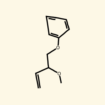 [CH]=CC(COc1ccccc1)OC